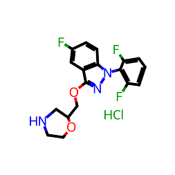 Cl.Fc1ccc2c(c1)c(OCC1CNCCO1)nn2-c1c(F)cccc1F